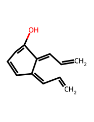 C=C/C=c1/cccc(O)/c1=C/C=C